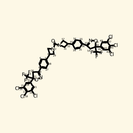 O=C(N1CC(c2ccc(C3=NOC(c4cc(Cl)c(Cl)c(Cl)c4)(C(F)(F)F)C3)cc2)C1)N1CC(c2ccc(C3=NOC(c4cc(Cl)c(Cl)c(Cl)c4)(C(F)(F)F)C3)cc2)C1